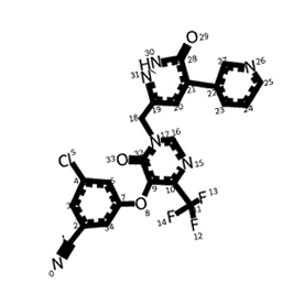 N#Cc1cc(Cl)cc(Oc2c(C(F)(F)F)ncn(Cc3cc(-c4cccnc4)c(=O)[nH]n3)c2=O)c1